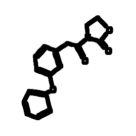 O=C(Cc1cccc(Oc2ccccc2)c1)N1CCOC1=O